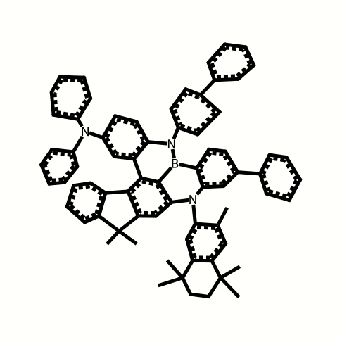 Cc1cc2c(cc1N1c3cc(-c4ccccc4)ccc3B3c4c1cc1c(c4-c4cc(N(c5ccccc5)c5ccccc5)ccc4N3c3ccc(-c4ccccc4)cc3)-c3ccccc3C1(C)C)C(C)(C)CCC2(C)C